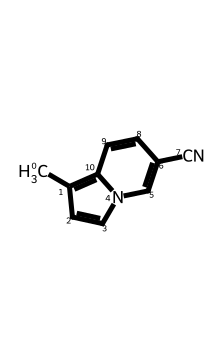 Cc1ccn2cc(C#N)ccc12